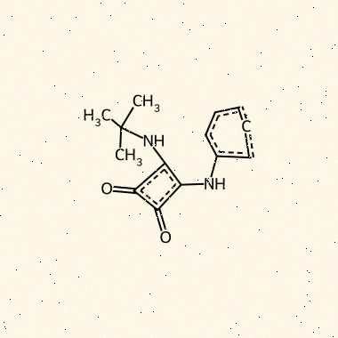 CC(C)(C)Nc1c(Nc2ccccc2)c(=O)c1=O